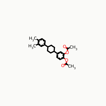 CC(=O)Oc1ccc(C2CCC(c3ccc(C)c(C)c3)CC2)cc1OC(C)=O